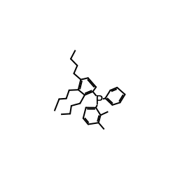 CCCCc1ccc(P(c2ccccc2)c2cccc(C)c2C)c(CCCC)c1CCCC